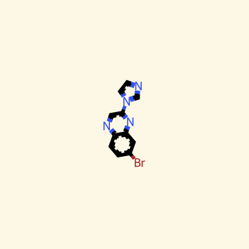 Brc1ccc2ncc(-n3ccnc3)nc2c1